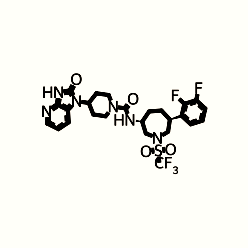 O=C(N[C@@H]1CC[C@@H](c2cccc(F)c2F)CN(S(=O)(=O)C(F)(F)F)C1)N1CCC(n2c(=O)[nH]c3ncccc32)CC1